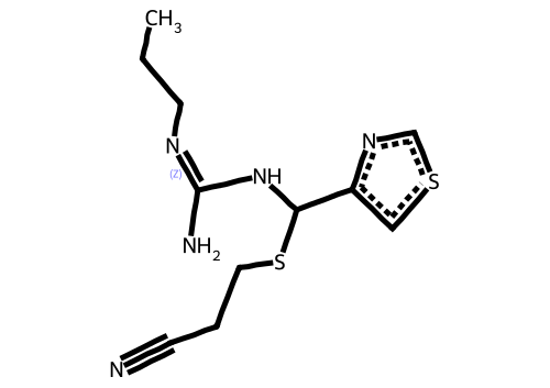 CCC/N=C(/N)NC(SCCC#N)c1cscn1